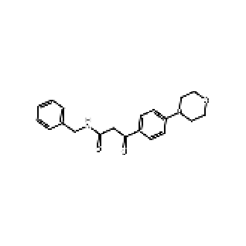 O=C(CC(=O)c1ccc(N2CCOCC2)cc1)NCc1ccccc1